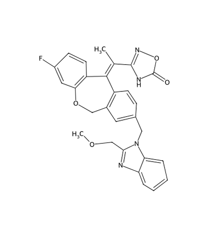 COCc1nc2ccccc2n1Cc1ccc2c(c1)COc1cc(F)ccc1/C2=C(\C)c1noc(=O)[nH]1